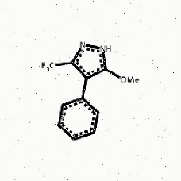 [CH2]Oc1[nH]nc(C(F)(F)F)c1-c1ccccc1